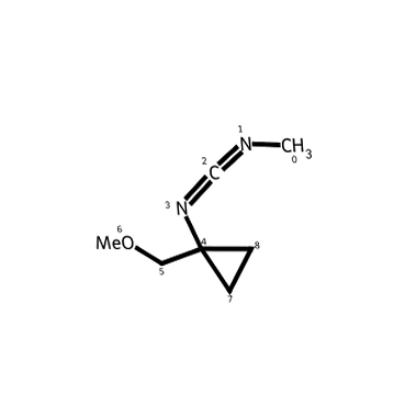 CN=C=NC1(COC)CC1